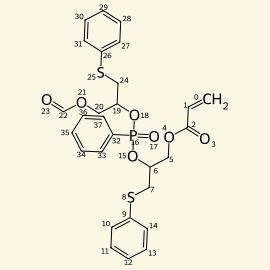 C=CC(=O)OCC(CSc1ccccc1)OP(=O)(OC(COC=O)CSc1ccccc1)c1ccccc1